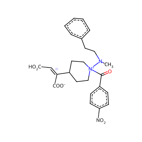 CN(CCc1ccccc1)[N+]1(C(=O)c2ccc([N+](=O)[O-])cc2)CCC(/C(=C/C(=O)O)C(=O)[O-])CC1